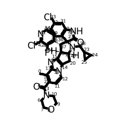 Cc1c(C(=O)N2CCOCC2)ccn2c3c(nc12)[C@@H]1[C@H](C3)N(CC2CC2)[C@@]2(C(=O)Nc3cc(Cl)ccc32)[C@H]1c1ccnc(Cl)c1F